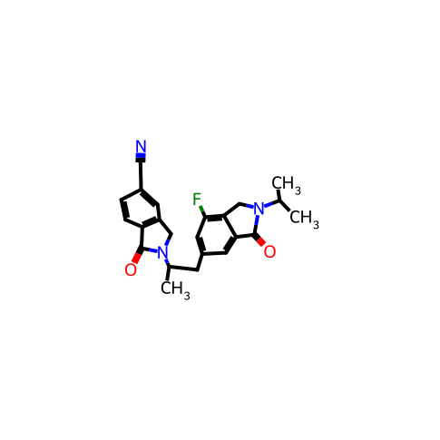 CC(C)N1Cc2c(F)cc(CC(C)N3Cc4cc(C#N)ccc4C3=O)cc2C1=O